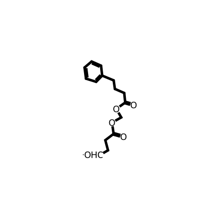 O=[C]CCC(=O)OCOC(=O)CCCc1ccccc1